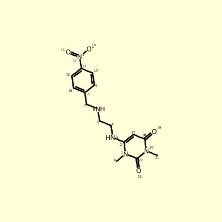 Cn1c(NCCNCc2ccc([N+](=O)[O-])cc2)cc(=O)n(C)c1=O